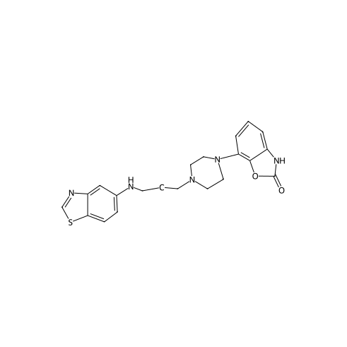 O=c1[nH]c2cccc(N3CCN(CCCNc4ccc5scnc5c4)CC3)c2o1